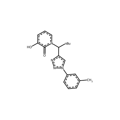 CCCCC(c1cn(-c2cccc(C)c2)nn1)n1cccc(O)c1=O